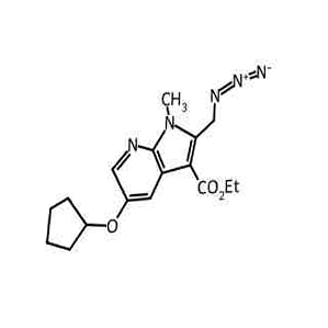 CCOC(=O)c1c(CN=[N+]=[N-])n(C)c2ncc(OC3CCCC3)cc12